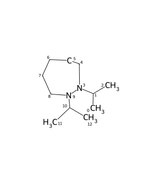 CC(C)N1CCCCCN1C(C)C